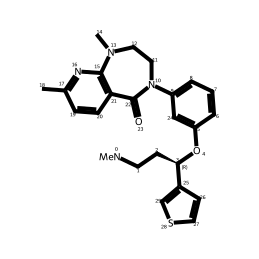 CNCC[C@@H](Oc1cccc(N2CCN(C)c3nc(C)ccc3C2=O)c1)c1ccsc1